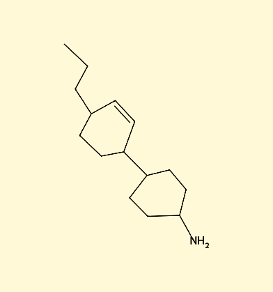 CCCC1C=CC(C2CCC(N)CC2)CC1